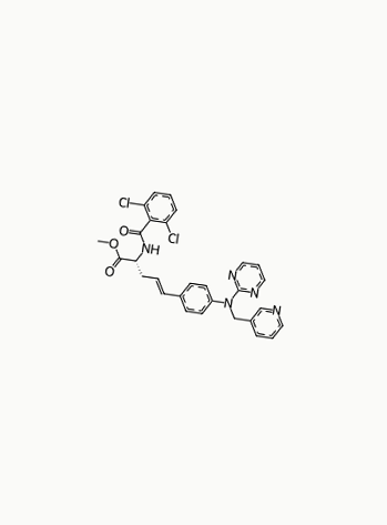 COC(=O)[C@@H](C/C=C/c1ccc(N(Cc2cccnc2)c2ncccn2)cc1)NC(=O)c1c(Cl)cccc1Cl